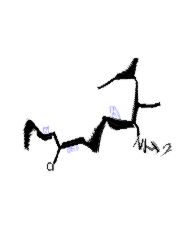 C\C=C/C(Cl)=C\C=C(/N)C(C)C(C)C